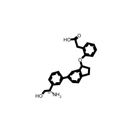 N[C@H](CO)c1cccc(-c2ccc3c(c2)C(Oc2ccccc2CC(=O)O)CC3)c1